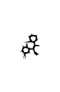 C#CC1=C(C)c2ccccc2Sc2ccc(Cl)cc21